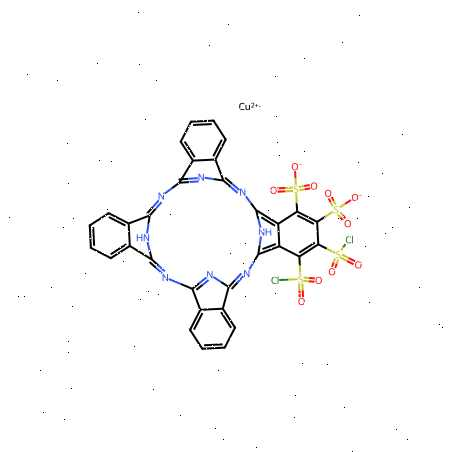 O=S(=O)([O-])c1c(S(=O)(=O)Cl)c(S(=O)(=O)Cl)c2c3nc4nc(nc5[nH]c(nc6nc(nc([nH]3)c2c1S(=O)(=O)[O-])-c1ccccc1-6)c1ccccc51)-c1ccccc1-4.[Cu+2]